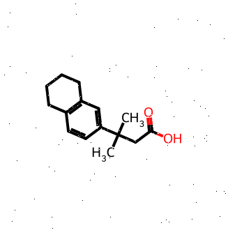 CC(C)(CC(=O)O)c1ccc2c(c1)CCCC2